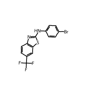 FC(F)(F)c1ccc2nc(Nc3ccc(Br)cc3)sc2c1